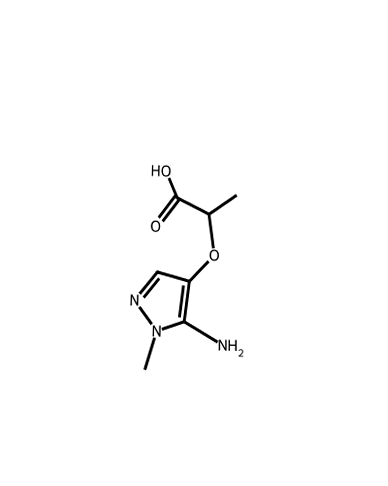 CC(Oc1cnn(C)c1N)C(=O)O